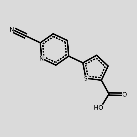 N#Cc1ccc(-c2ccc(C(=O)O)s2)cn1